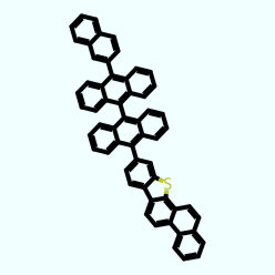 c1ccc2cc(-c3c4ccccc4c(-c4c5ccccc5c(-c5ccc6c(c5)sc5c6ccc6c7ccccc7ccc65)c5ccccc45)c4ccccc34)ccc2c1